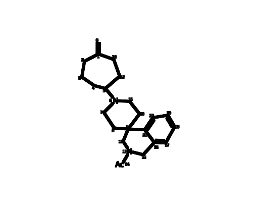 C=C1CCCC(N2CCC3(CC2)CN(C(C)=O)Cc2ccccc23)CC1